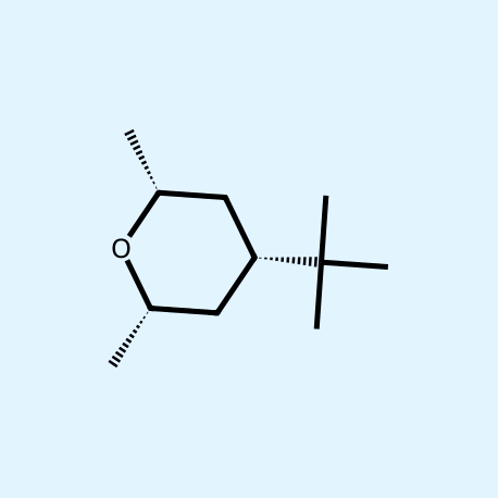 C[C@@H]1C[C@H](C(C)(C)C)C[C@H](C)O1